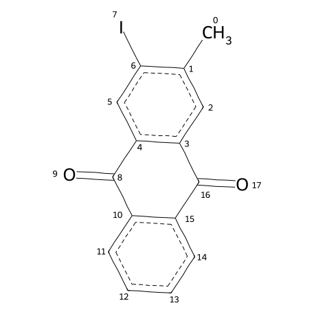 Cc1cc2c(cc1I)C(=O)c1ccccc1C2=O